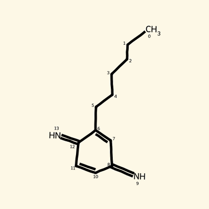 CCCCCCC1=CC(=N)C=CC1=N